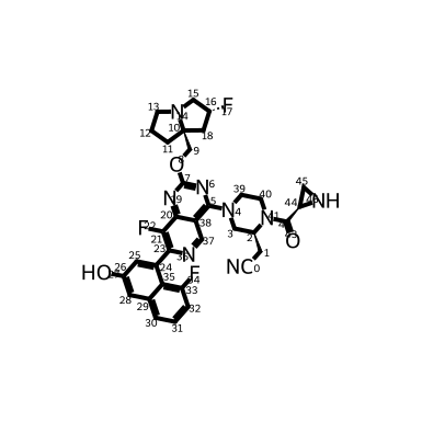 N#CC[C@H]1CN(c2nc(OC[C@@]34CCCN3C[C@H](F)C4)nc3c(F)c(-c4cc(O)cc5cccc(F)c45)ncc23)CCN1C(=O)[C@H]1CN1